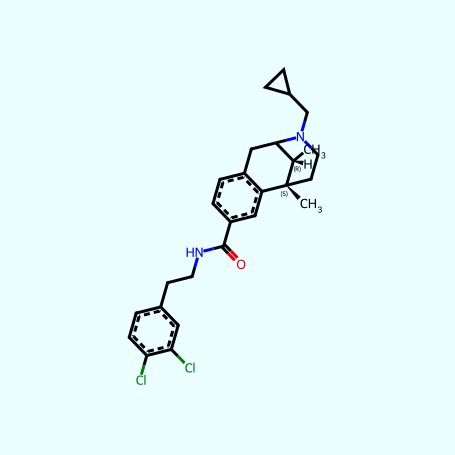 C[C@H]1C2Cc3ccc(C(=O)NCCc4ccc(Cl)c(Cl)c4)cc3[C@@]1(C)CCN2CC1CC1